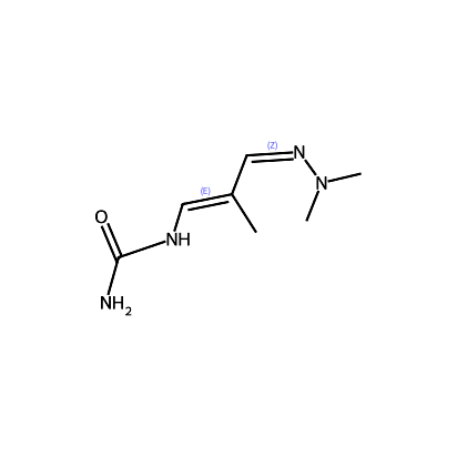 CC(/C=N\N(C)C)=C\NC(N)=O